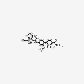 CC1Oc2cc(C(=O)N(C)C)ccc2-c2cnc(Nc3cnc4c(c3)N(C(O)C(C)(C)C)CCO4)cc21